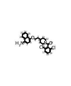 Nc1ccc(OCCC2CCN(C(=O)c3c(Cl)cccc3Cl)CC2)c2ccccc12